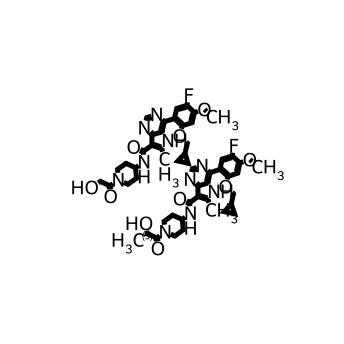 COc1cc(OCC2CC2)c(-c2ncnc3c(C(=O)NC4CCN(C(=O)CO)CC4)c(C)[nH]c23)cc1F.COc1cc(OCC2CC2)c(-c2ncnc3c(C(=O)NC4CCN(C(=O)[C@H](C)O)CC4)c(C)[nH]c23)cc1F